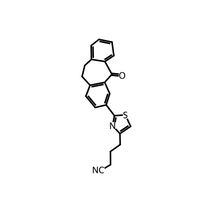 N#CCCCc1csc(-c2ccc3c(c2)C(=O)c2ccccc2CC3)n1